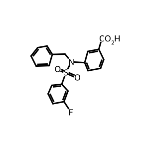 O=C(O)c1cccc(N(Cc2ccccc2)S(=O)(=O)c2cccc(F)c2)c1